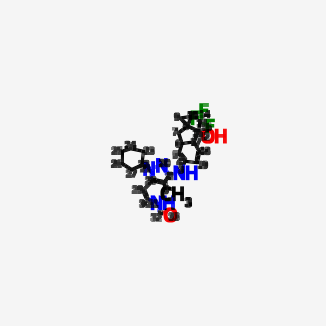 Cc1c(NC2=CC3CC4(CC4)C(O)(C(F)(F)F)C3C=C2)nn(C2CCCCC2)c1/C=C\NC=O